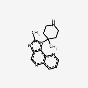 Cc1nc2cnc3cccnc3c2n1C1(C)CCNCC1